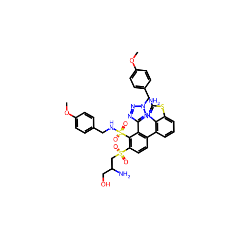 COc1ccc(CNS(=O)(=O)c2c(S(=O)(=O)CC(N)CO)ccc(-c3cccc4sc(N)nc34)c2-c2nnn(Cc3ccc(OC)cc3)n2)cc1